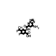 C=C(F)c1cc(NC(=O)c2cc(N)c3nnnn3n2)c(C(=O)O)cc1F